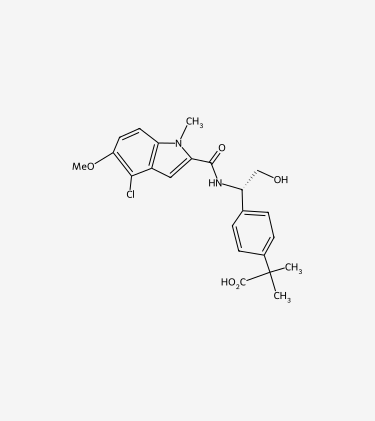 COc1ccc2c(cc(C(=O)N[C@H](CO)c3ccc(C(C)(C)C(=O)O)cc3)n2C)c1Cl